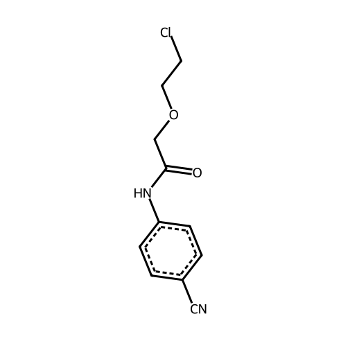 N#Cc1ccc(NC(=O)COCCCl)cc1